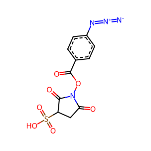 [N-]=[N+]=Nc1ccc(C(=O)ON2C(=O)CC(S(=O)(=O)O)C2=O)cc1